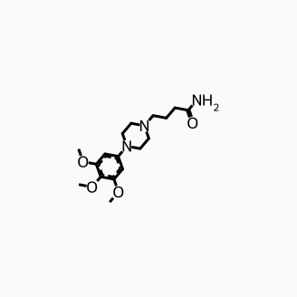 COc1cc(N2CCN(CCCC(N)=O)CC2)cc(OC)c1OC